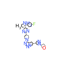 CC(N)(c1ccc(F)cc1)c1cnc(C2=CCN(c3ncnn4cc(-c5cnn([C@@H]6CCOC6)c5)cc34)CC2)nc1